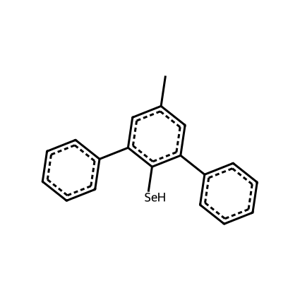 Cc1cc(-c2ccccc2)c([SeH])c(-c2ccccc2)c1